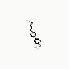 CC(C)(C)OCCCN1CCN(c2ccc(OC(C)(C)C)nc2)CC1